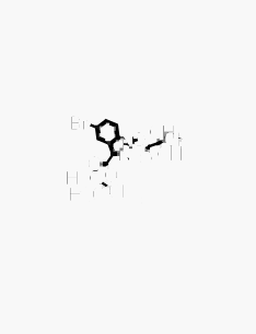 CC(C)(C)OC(=O)c1nn(OC(=O)C(C)(C)C)c2ccc(Br)cc12